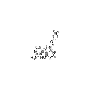 C[Si](C)(C)CCOCn1cc(-c2ccnc(N)n2)c2c(O)ccnc21